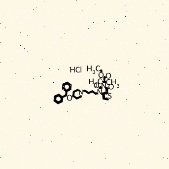 CCOC(=O)C(C)(C)n1c(=O)c2sccc2n(CCCCN2CCC(OC(c3ccccc3)c3ccccc3)CC2)c1=O.Cl